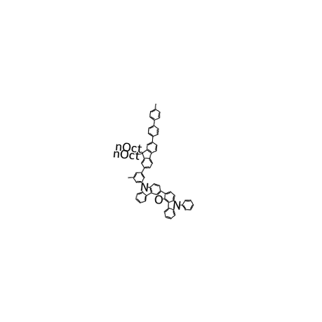 CCCCCCCCC1(CCCCCCCC)c2cc(-c3ccc(-c4ccc(C)cc4)cc3)ccc2-c2ccc(-c3cc(C)cc(-n4c5ccccc5c5c6oc7c(ccc8c7c7ccccc7n8-c7ccccc7)c6ccc54)c3)cc21